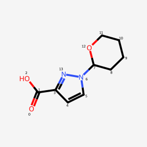 O=C(O)c1ccn(C2CCCCO2)n1